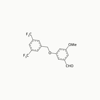 COc1cc(C=O)cc(OCc2cc(C(F)(F)F)cc(C(F)(F)F)c2)c1